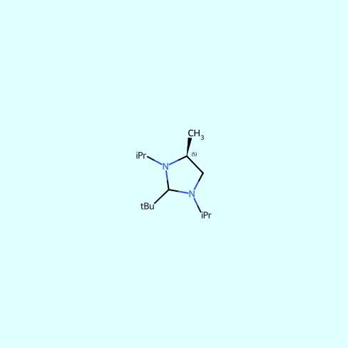 CC(C)N1C[C@H](C)N(C(C)C)C1C(C)(C)C